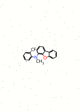 CN(c1ccccc1C(F)(F)F)c1cccc2c1oc1ccccc12